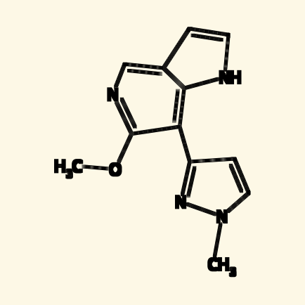 COc1ncc2cc[nH]c2c1-c1ccn(C)n1